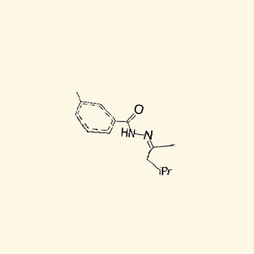 CC(CC(C)C)=NNC(=O)c1cccc(C)c1